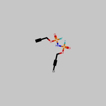 C#CCOP(=O)(F)NP(=O)(F)OCC#CCC